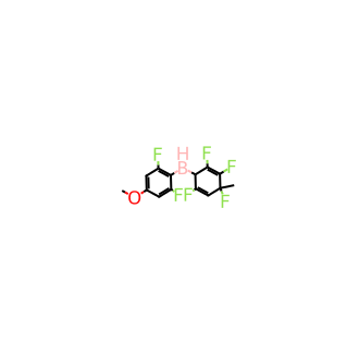 COc1cc(F)c(BC2C(F)=CC(C)(F)C(F)=C2F)c(F)c1